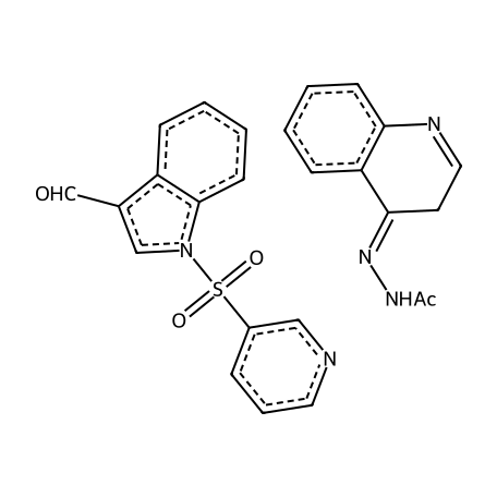 CC(=O)NN=C1CC=Nc2ccccc21.O=Cc1cn(S(=O)(=O)c2cccnc2)c2ccccc12